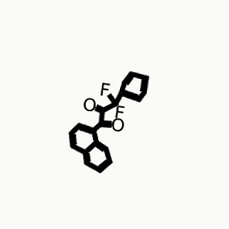 O=C(C(=O)C(F)(F)c1ccccc1)c1cccc2ccccc12